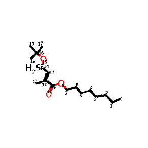 CCCCCCCCOC(=O)C(C)=C[SiH2]OC(C)(C)C